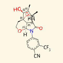 C[C@@H]1[C@H](O)[C@@]23CCO[C@H]4[C@@H]2[C@H](C(=O)N4c2ccc(C#N)c(C(F)(F)F)c2)[C@]1(C)O3